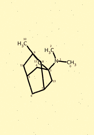 CN(C)C12CC3CC(CC(C)(C3)O1)C2